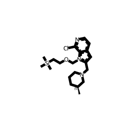 C[C@H]1CCCN(Cc2cc3ccnc(Cl)c3n2COCC[Si](C)(C)C)C1